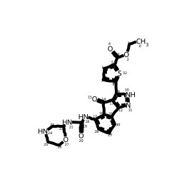 CCOC(=O)c1ccc(-c2[nH]nc3c2C(=O)c2c(NC(=O)NC4CNCCO4)cccc2-3)s1